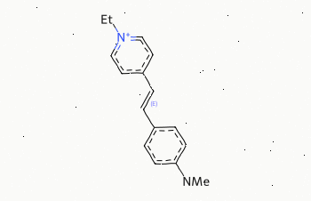 CC[n+]1ccc(/C=C/c2ccc(NC)cc2)cc1